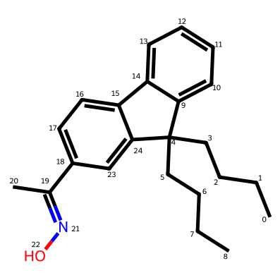 CCCCC1(CCCC)c2ccccc2-c2ccc(C(C)=NO)cc21